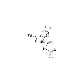 COC(=O)c1cc(C)cnc1NC(=O)NC(=O)C(Cl)(Cl)Cl